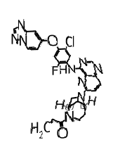 C=CC(=O)N1CC[C@H]2C[C@@H]1CN2c1ccc2ncnc(Nc3cc(Cl)c(Oc4ccn5ncnc5c4)cc3F)c2n1